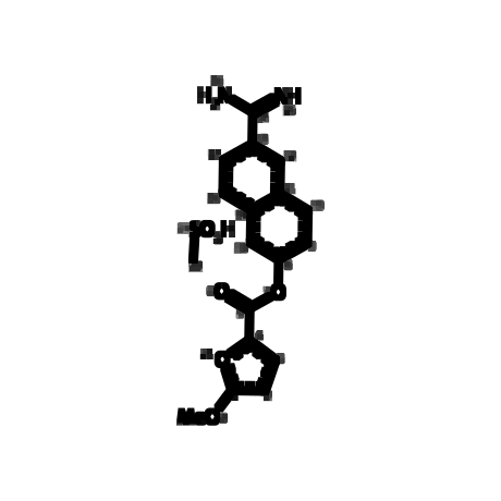 COc1ccc(C(=O)Oc2ccc3cc(C(=N)N)ccc3c2)o1.CS(=O)(=O)O